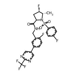 C[C@H]1[C@H](F)CC(C(=O)NCc2cc(-c3cnc(C(F)(F)F)nc3)ccc2F)N1S(=O)(=O)c1ccc(F)cc1